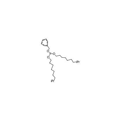 CC(C)CCCCCCCOP(OCCCCCCCC(C)C)OCc1ccccc1